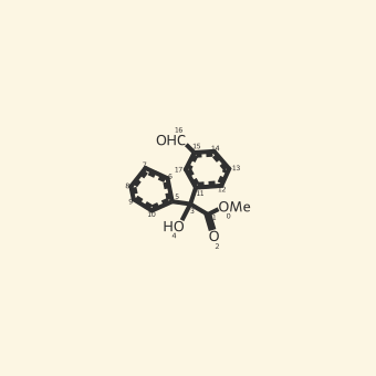 COC(=O)C(O)(c1ccccc1)c1cccc(C=O)c1